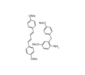 COc1ccc(C=CC=Cc2ccc(OC)cc2)cc1.COc1ccc(Cc2cc(OC)ccc2N)cc1